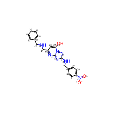 O=[N+]([O-])c1ccc(CNc2nc3nc(CNCc4ccccc4)cc(O)n3n2)cc1